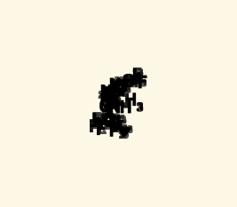 CC(NC(=O)c1cc(C(F)(F)F)cc(C(F)(F)C2CC2)c1)c1ncnn1-c1ccc(OCC(F)F)cn1